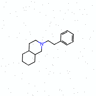 c1ccc(CCN2CCC3CCCCC3C2)cc1